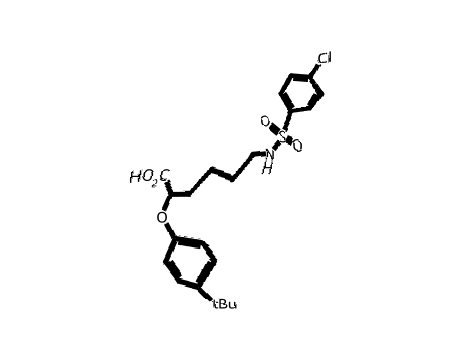 CC(C)(C)c1ccc(OC(CCCCNS(=O)(=O)c2ccc(Cl)cc2)C(=O)O)cc1